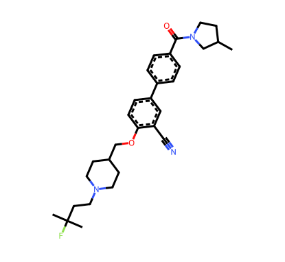 CC1CCN(C(=O)c2ccc(-c3ccc(OCC4CCN(CCC(C)(C)F)CC4)c(C#N)c3)cc2)C1